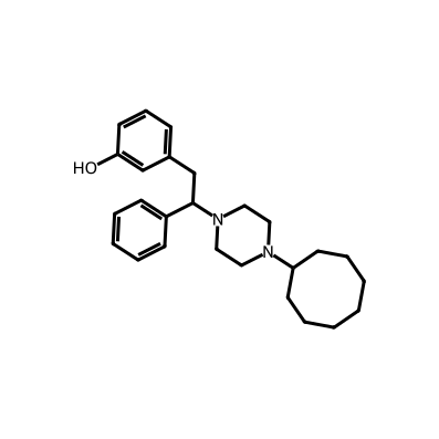 Oc1cccc(CC(c2ccccc2)N2CCN(C3CCCCCCC3)CC2)c1